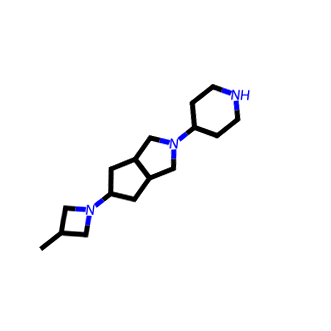 CC1CN(C2CC3CN(C4CCNCC4)CC3C2)C1